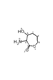 NC1C(=O)OCCCC1O